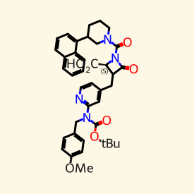 COc1ccc(CN(C(=O)OC(C)(C)C)c2cc(CC3C(=O)N(C(=O)N4CCCC(c5cccc6ccccc56)C4)[C@@H]3C(=O)O)ccn2)cc1